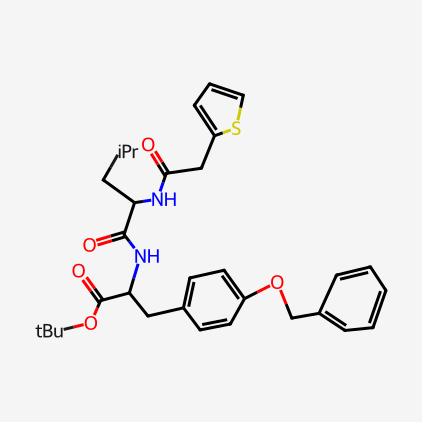 CC(C)CC(NC(=O)Cc1cccs1)C(=O)NC(Cc1ccc(OCc2ccccc2)cc1)C(=O)OC(C)(C)C